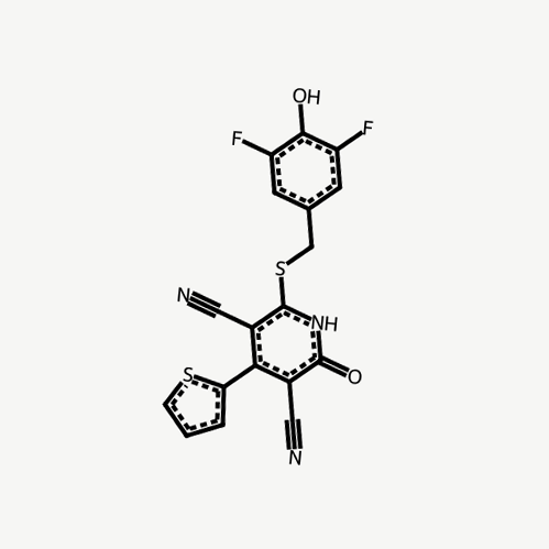 N#Cc1c(SCc2cc(F)c(O)c(F)c2)[nH]c(=O)c(C#N)c1-c1cccs1